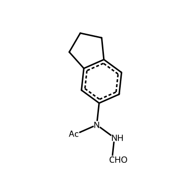 CC(=O)N(NC=O)c1ccc2c(c1)CCC2